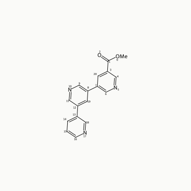 COC(=O)c1cncc(-c2cncc(-c3cccnc3)c2)c1